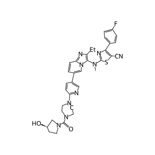 CCc1nc2ccc(-c3ccc(N4CCN(C(=O)N5CC[C@@H](O)C5)CC4)nc3)cn2c1N(C)c1nc(-c2ccc(F)cc2)c(C#N)s1